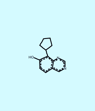 Oc1ccc2cncnc2c1C1CCCC1